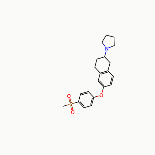 CS(=O)(=O)c1ccc(Oc2ccc3c(c2)CCC(N2CCCC2)C3)cc1